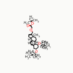 CC(C)(C)OC(=O)COCC1=CC[C@H]2C3=CC=C4C[C@@H](O[Si](C)(C)C(C)(C)C)C[C@H](O[Si](C)(C)C(C)(C)C)[C@]4(C)[C@H]3CC[C@]12C